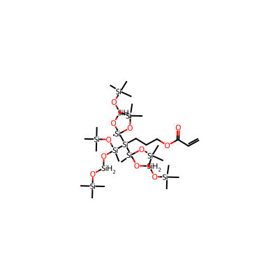 C=CC(=O)OCCC[Si]([Si](C)(O[SiH2]O[Si](C)(C)C)O[Si](C)(C)C)([Si](C)(O[SiH2]O[Si](C)(C)C)O[Si](C)(C)C)[Si](C)(O[SiH2]O[Si](C)(C)C)O[Si](C)(C)C